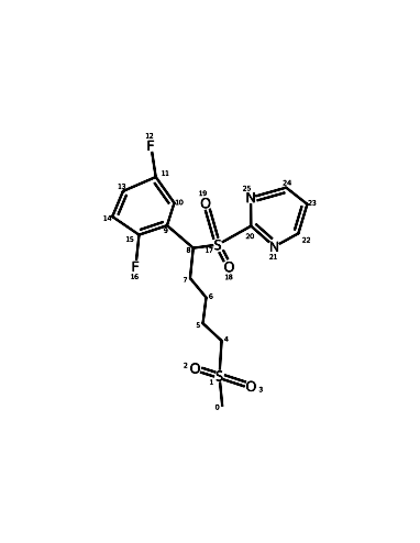 CS(=O)(=O)CCCCC(c1cc(F)ccc1F)S(=O)(=O)c1ncccn1